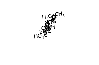 CC[C@@H](CC(=O)O)n1c(=O)[nH]c2cc(Cc3nsc4cc(C)cc(C)c34)ncc2c1=O